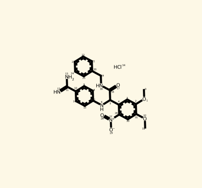 COc1cc(C(Nc2ccc(C(=N)N)cc2)C(=O)NCc2ccccc2)c([N+](=O)[O-])cc1OC.Cl